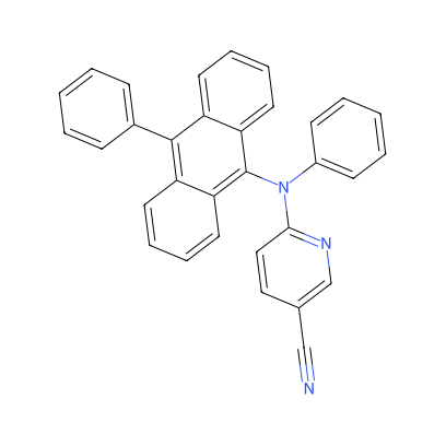 N#Cc1ccc(N(c2ccccc2)c2c3ccccc3c(-c3ccccc3)c3ccccc23)nc1